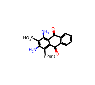 CCCCCc1c(N)c(S(=O)(=O)O)c(N)c2c1C(=O)c1ccccc1C2=O